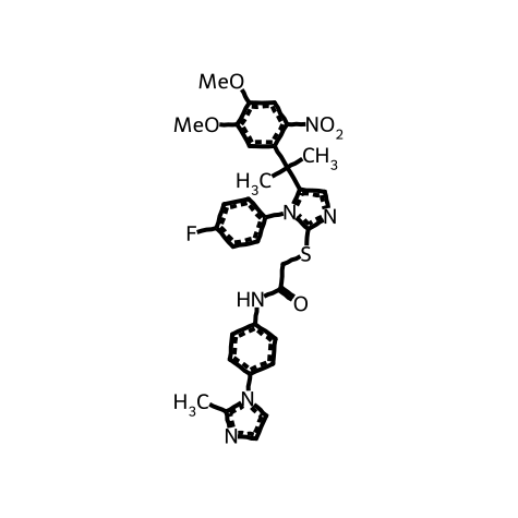 COc1cc([N+](=O)[O-])c(C(C)(C)c2cnc(SCC(=O)Nc3ccc(-n4ccnc4C)cc3)n2-c2ccc(F)cc2)cc1OC